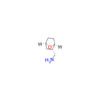 NC[C@@H]1C[C@H]2CC[C@@H]1O2